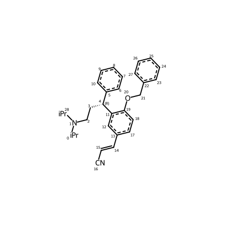 CC(C)N(CC[C@H](c1ccccc1)c1cc(C=CC#N)ccc1OCc1ccccc1)C(C)C